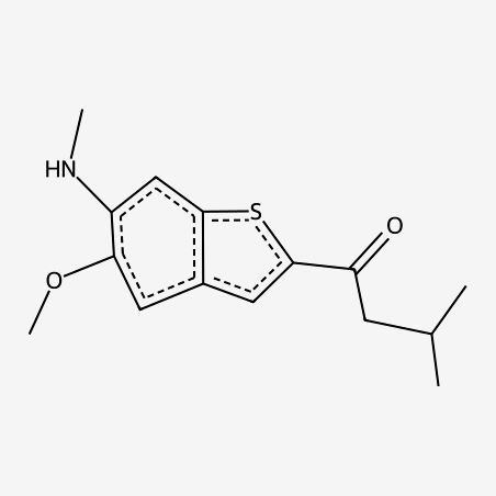 CNc1cc2sc(C(=O)CC(C)C)cc2cc1OC